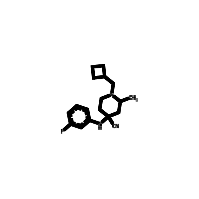 CC1CC(C#N)(Nc2cccc(F)c2)CCN1CC1CCC1